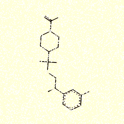 COC(=O)C1CCC(C(C)(C)NC[C@H](O)c2cccc(F)c2)CC1